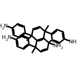 CC1(N)C=CC(C)(c2ccc(N)cc2)C2=C1C(C)(c1ccc(N)cc1)C=CC2(C)c1ccc(N)cc1